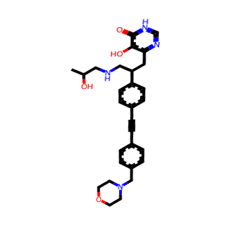 CC(O)CNCC(Cc1nc[nH]c(=O)c1O)c1ccc(C#Cc2ccc(CN3CCOCC3)cc2)cc1